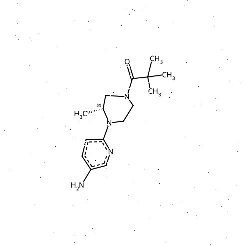 C[C@@H]1CN(C(=O)C(C)(C)C)CCN1c1ccc(N)cn1